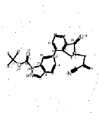 C=C(C#N)CN1Cc2c(cccc2-c2ccc3cnn(C(=O)OC(C)(C)C)c3c2)C1=O